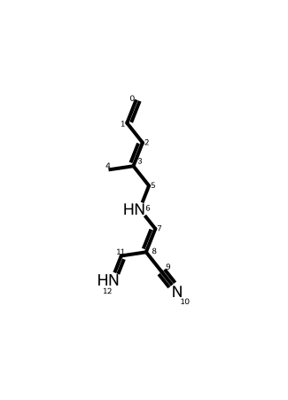 C=C/C=C(\C)CN/C=C(/C#N)C=N